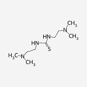 CN(C)CCNC(=S)NCCN(C)C